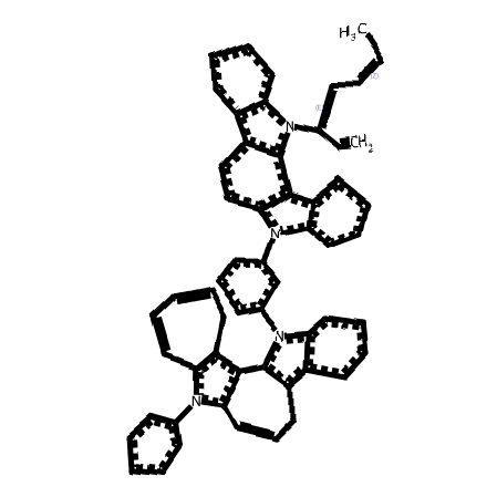 C=C/C(=C\C=C/C)n1c2ccccc2c2ccc3c(c4ccccc4n3-c3cccc(-n4c5c(c6ccccc64)CC=Cc4c-5c5c(n4-c4ccccc4)C=CC=CC5)c3)c21